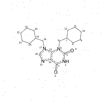 O=c1[nH]c(=O)n(CC2CCCCC2)c2c1n[c]n2CC1CCCCC1